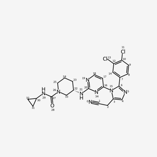 N#CCc1cnc(-c2ccc(Cl)c(Cl)c2)n1-c1ccnc(N[C@H]2CCCN(C(=O)NC3CC3)C2)n1